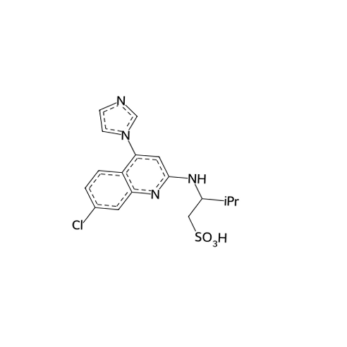 CC(C)C(CS(=O)(=O)O)Nc1cc(-n2ccnc2)c2ccc(Cl)cc2n1